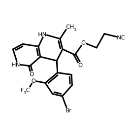 [C-]#[N+]CCOC(=O)C1=C(C)Nc2cc[nH]c(=O)c2C1c1ccc(Br)cc1OC(F)(F)F